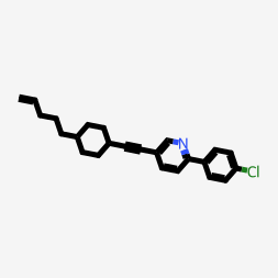 C=CCCCC1CCC(C#Cc2ccc(-c3ccc(Cl)cc3)nc2)CC1